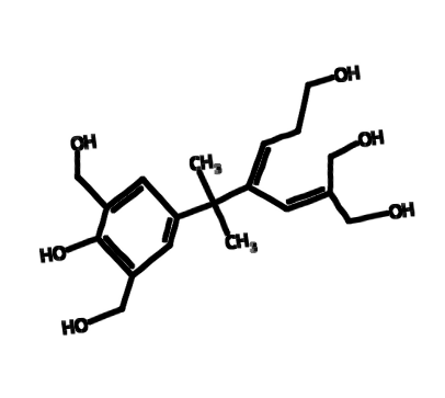 CC(C)(/C(C=C(CO)CO)=C/CCO)c1cc(CO)c(O)c(CO)c1